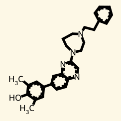 Cc1cc(-c2ccc3ncc(N4CCCN(CCc5ccccc5)CC4)nc3c2)cc(C)c1O